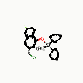 CC(C)(C)[Si](Oc1cc(CCl)cc2cc(F)ccc12)(c1ccccc1)c1ccccc1